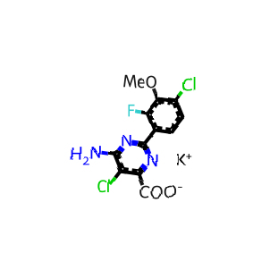 COc1c(Cl)ccc(-c2nc(N)c(Cl)c(C(=O)[O-])n2)c1F.[K+]